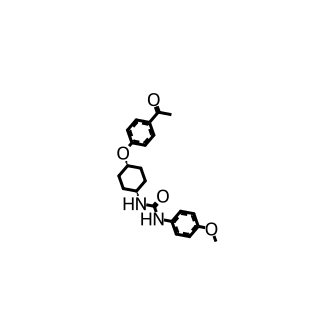 COc1ccc(NC(=O)N[C@H]2CC[C@@H](Oc3ccc(C(C)=O)cc3)CC2)cc1